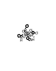 NC(Cc1ccc(Cl)cc1Cl)C(=O)N(C(=O)[C@H](Cc1c[nH]c2ccccc12)NC(=O)OCc1ccccc1)c1ccc2c(c1)CNC2